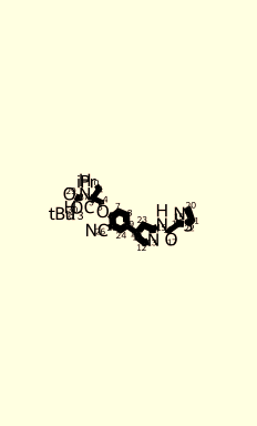 CC(C)CC(C)(COc1ccc(-c2ccnc(NC(=O)c3nccs3)c2)cc1C#N)NC(=O)OC(C)(C)C